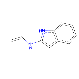 C=CNc1cc2ccccc2[nH]1